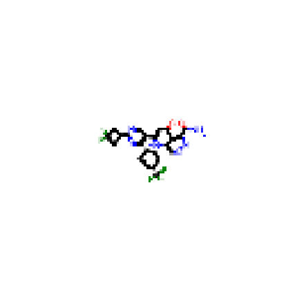 NC(=O)c1nncc2[nH]c(-c3cnc(C4CC(F)(F)C4)nc3[C@H]3CC[C@@H](C(F)(F)F)CC3)cc(=O)c12